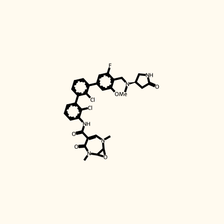 COc1cc(-c2cccc(-c3cccc(NC(=O)C4=CN(C)C5OC5N(C)C4=O)c3Cl)c2Cl)cc(F)c1CN(C)[C@H]1CNC(=O)C1